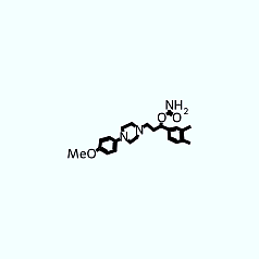 COc1ccc(N2CCN(CCC(OC(N)=O)c3ccc(C)c(C)c3)CC2)cc1